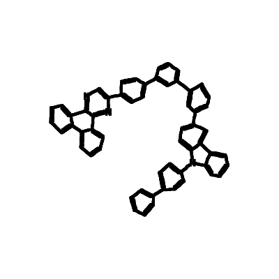 c1ccc(-c2ccc(-n3c4ccccc4c4cc(-c5cccc(-c6cccc(-c7ccc(-c8cnc9c%10ccccc%10c%10ccccc%10c9n8)cc7)c6)c5)ccc43)cc2)cc1